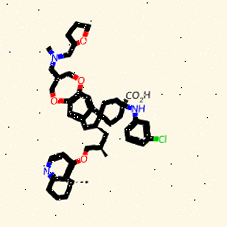 C[C@@H](COc1ccnc2c1[C@H](C)CCC2)C[C@H]1Cc2cc3c(cc2C12CCC(Nc1cccc(Cl)c1)(C(=O)O)CC2)OCC(CN(C)CC1CCCO1)CO3